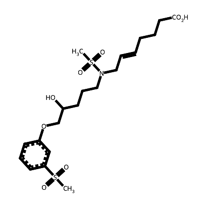 CS(=O)(=O)c1cccc(OCC(O)CCCN(CC=CCCCC(=O)O)S(C)(=O)=O)c1